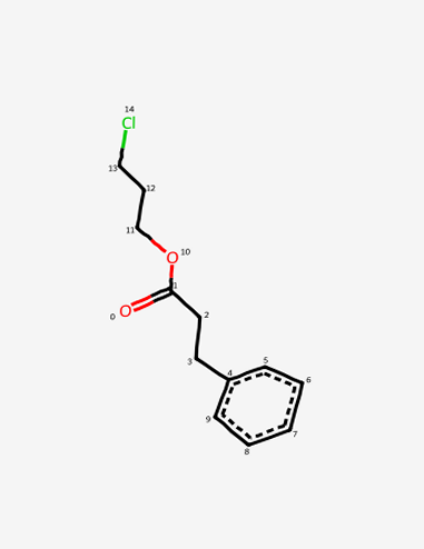 O=C(CCc1ccccc1)OCCCCl